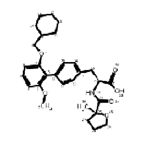 COc1cccc(OCC2CCCCC2)c1-c1ccc(C[C@H](NC(=O)[C@@]2(C)CCCO2)C(=O)O)cc1